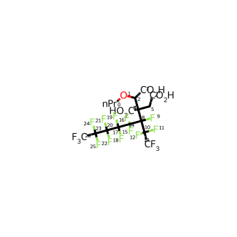 CCCOC(C(=O)O)C(CC(=O)O)(C(=O)O)C(F)(C(F)(F)C(F)(F)F)C(F)(F)C(F)(F)C(F)(F)C(F)(F)C(F)(F)F